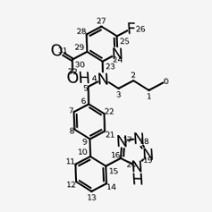 CCCCN(Cc1ccc(-c2ccccc2-c2nnn[nH]2)cc1)c1nc(F)ccc1C(=O)O